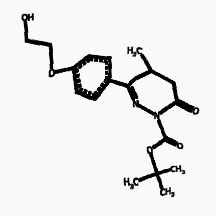 CC1CC(=O)N(C(=O)OC(C)(C)C)N=C1c1ccc(OCCO)cc1